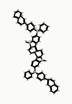 Cn1c2c(c3ccc(N(c4ccccc4)c4ccc(-c5ccc6ccccc6c5)cc4)cc31)C1CC=c3c(c4ccc(N(c5ccccc5)c5ccc(-c6ccc7ccccc7c6)cc5)cc4n3C)=C1C=C2